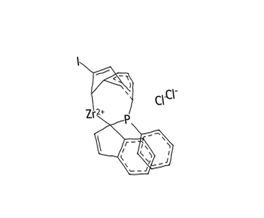 IC1=Cc2c3cccc2P(c2ccccc2)[C]2(C=Cc4ccccc42)[Zr+2][CH]13.[Cl-].[Cl-]